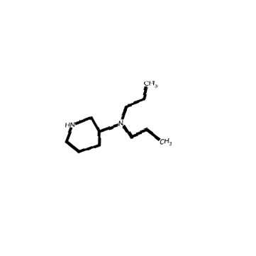 CCCN(CCC)C1CCCNC1